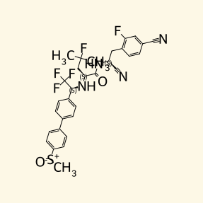 C[S+]([O-])c1ccc(-c2ccc([C@H](N[C@@H](CC(C)(C)F)C(=O)N[C@H](C#N)Cc3ccc(C#N)cc3F)C(F)(F)F)cc2)cc1